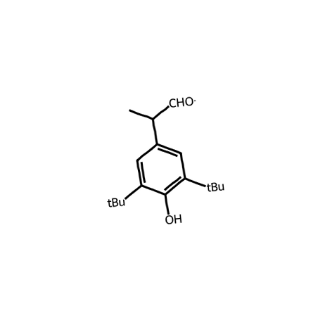 CC([C]=O)c1cc(C(C)(C)C)c(O)c(C(C)(C)C)c1